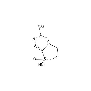 CC(C)(C)c1cc2c(cn1)[S@@](=N)(=O)CCC2